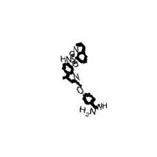 Cc1cc(COc2ccc(C(=N)N)cc2)nc2cc(NS(=O)(=O)c3cccc4cccnc34)ccc12